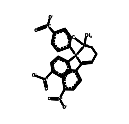 C[N+]1(C)CCC=C(c2ccc([N+](=O)[O-])cc2)[B-]1(c1ccc([N+](=O)[O-])cc1)c1ccc([N+](=O)[O-])cc1